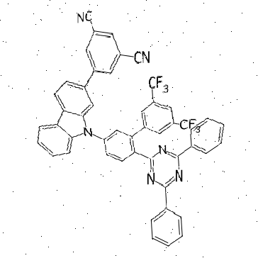 N#Cc1cc(C#N)cc(-c2ccc3c4ccccc4n(-c4ccc(-c5nc(-c6ccccc6)nc(-c6ccccc6)n5)c(-c5cc(C(F)(F)F)cc(C(F)(F)F)c5)c4)c3c2)c1